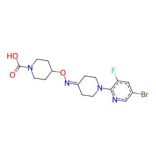 O=C(O)N1CCC(ON=C2CCN(c3ncc(Br)cc3F)CC2)CC1